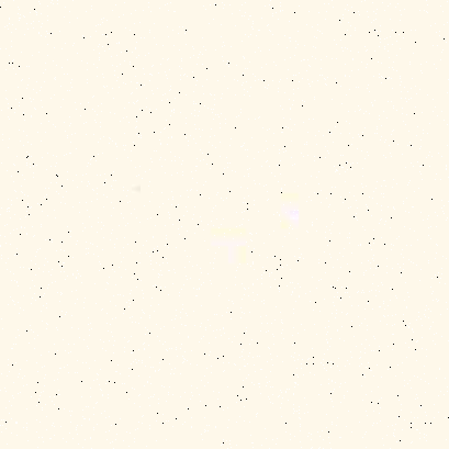 N#Cc1ccc(Nc2c3ccccc3nc3ccccc23)cc1